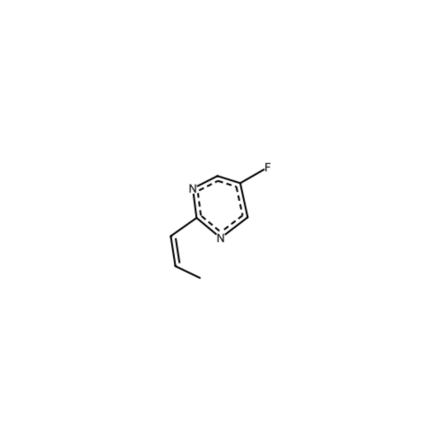 C/C=C\c1ncc(F)cn1